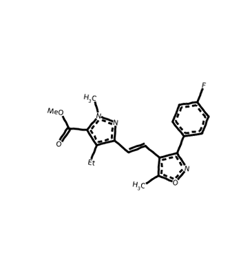 CCc1c(/C=C/c2c(-c3ccc(F)cc3)noc2C)nn(C)c1C(=O)OC